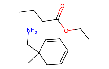 CC1(CN)C=CC=CC1.CCCC(=O)OCC